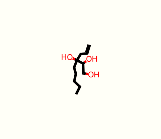 C=CCC(O)(CCCCC)C(O)CO